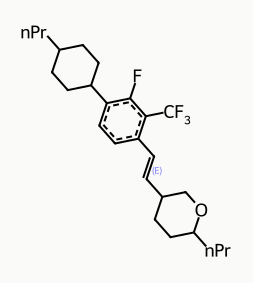 CCCC1CCC(c2ccc(/C=C/C3CCC(CCC)OC3)c(C(F)(F)F)c2F)CC1